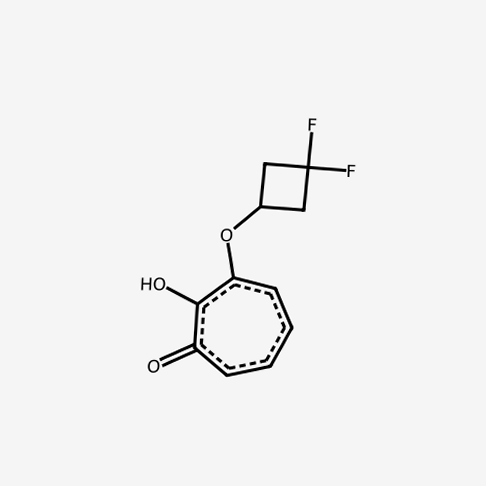 O=c1ccccc(OC2CC(F)(F)C2)c1O